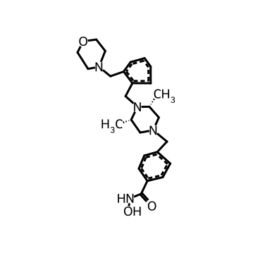 C[C@@H]1CN(Cc2ccc(C(=O)NO)cc2)C[C@H](C)N1Cc1ccccc1CN1CCOCC1